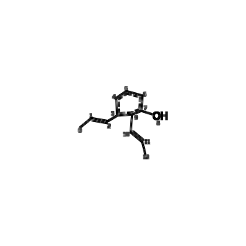 CC=Cc1cccc(O)c1C=CC